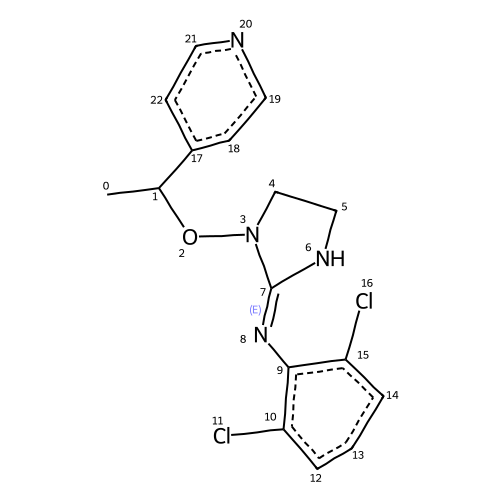 CC(ON1CCN/C1=N\c1c(Cl)cccc1Cl)c1ccncc1